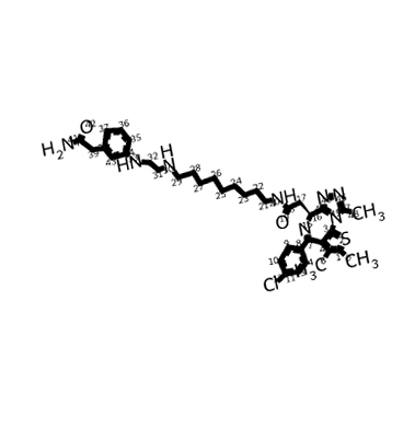 Cc1sc2c(c1C)C(c1ccc(Cl)cc1)=N[C@@H](CC(=O)NCCCCCCCCCNCCNc1cccc(CC(N)=O)c1)c1nnc(C)n1-2